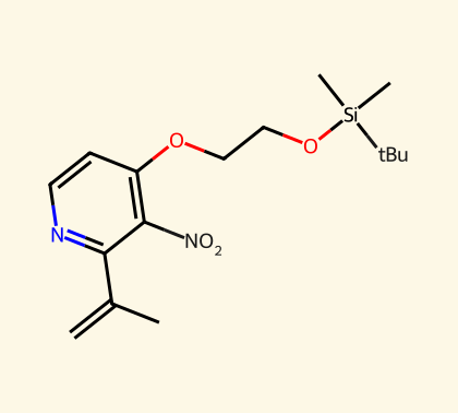 C=C(C)c1nccc(OCCO[Si](C)(C)C(C)(C)C)c1[N+](=O)[O-]